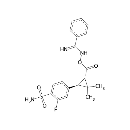 CC1(C)[C@@H](C(=O)ONC(=N)c2ccccc2)[C@@H]1c1ccc(S(N)(=O)=O)c(F)c1